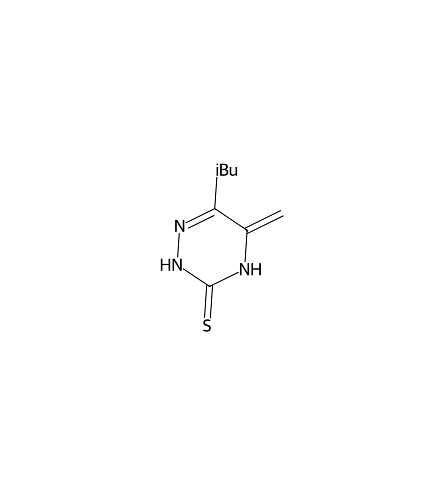 C=C1NC(=S)NN=C1C(C)CC